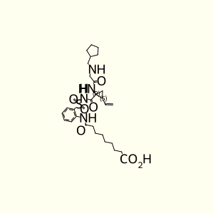 C=C[C@@H]1C[C@]1(NC(=O)CNCC1CCCC1)C(=O)NS(=O)(=O)c1ccccc1NC(=O)CCCCCCCC(=O)O